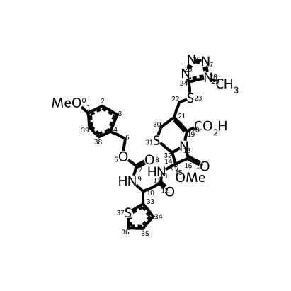 COc1ccc(COC(=O)NC(C(=O)N[C@]2(OC)C(=O)N3C(C(=O)O)=C(CSc4nnnn4C)CSC32)c2cccs2)cc1